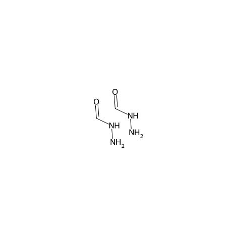 NNC=O.NNC=O